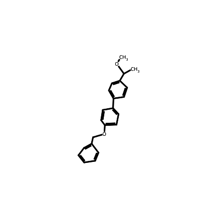 COC(C)c1ccc(-c2ccc(OCc3ccccc3)cc2)cc1